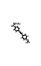 CC(=O)N[C@@H](C)c1ccc(C#Cc2ccc(OC(C)C)cc2)cc1